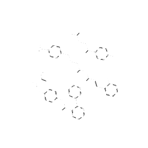 CC(Oc1ccc(OC(=O)c2ccccc2-c2ccccc2)cc1)C(=O)O.O=C(C=Cc1ccccc1Cl)OC(=O)CCCc1ccc([N+](=O)[O-])cc1.O=C(O)CCC(=O)c1ccc(Cl)cc1